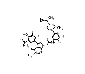 C[C@H](C1CC1)N1CCN(c2cc(NC(=O)Cn3cc(-c4cc(C(N)=O)c(O)c(F)c4F)c4c(=O)n(C)cnc43)c(Cl)c(F)n2)[C@@H](C)C1